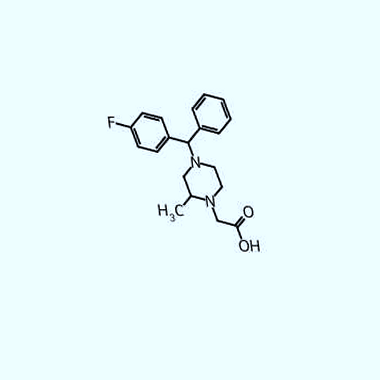 CC1CN(C(c2ccccc2)c2ccc(F)cc2)CCN1CC(=O)O